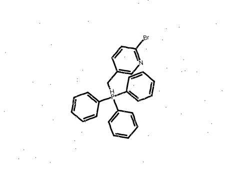 Brc1ccc(C[PH](c2ccccc2)(c2ccccc2)c2ccccc2)cn1